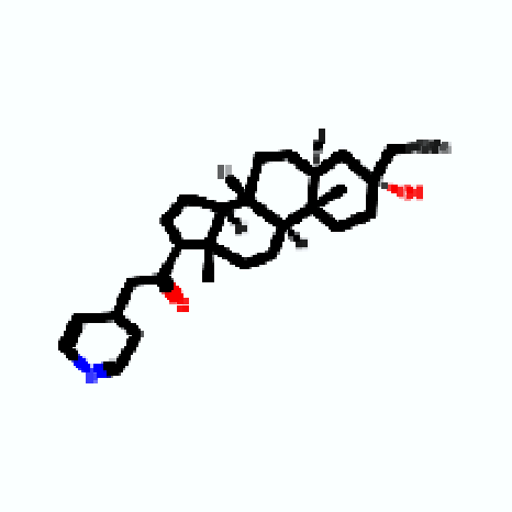 COC[C@@]1(O)CC[C@@]2(C)[C@@H](CC[C@@H]3[C@@H]2CC[C@]2(C)[C@@H](C(=O)CC4C=CN=CC4)CC[C@@H]32)C1